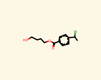 CC(Br)c1ccc(C(=O)OCCCCO)cc1